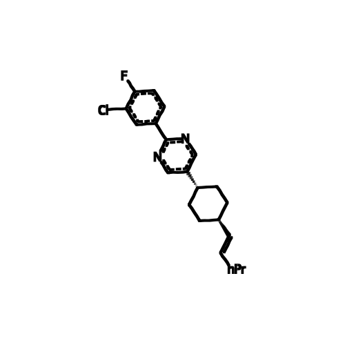 CCC/C=C/[C@H]1CC[C@H](c2cnc(-c3ccc(F)c(Cl)c3)nc2)CC1